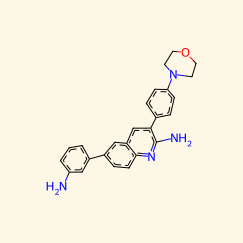 Nc1cccc(-c2ccc3nc(N)c(-c4ccc(N5CCOCC5)cc4)cc3c2)c1